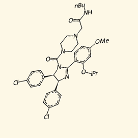 CCCCNC(=O)CN1CCN(C(=O)N2C(c3ccc(OC)cc3OC(C)C)=N[C@@H](c3ccc(Cl)cc3)[C@H]2c2ccc(Cl)cc2)CC1